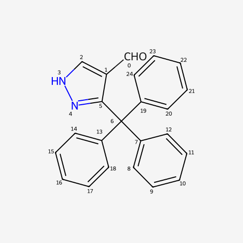 O=Cc1c[nH]nc1C(c1ccccc1)(c1ccccc1)c1ccccc1